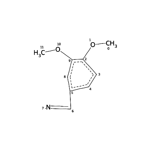 COc1ccc(C=[N])cc1OC